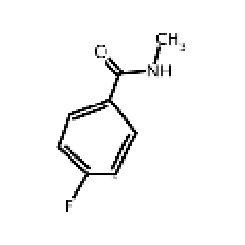 CNC(=O)c1c[c]c(F)cc1